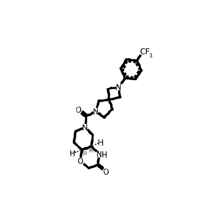 O=C1CO[C@H]2CCN(C(=O)N3CCC4(C3)CN(c3ccc(C(F)(F)F)cc3)C4)C[C@H]2N1